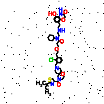 CC(C)C1=NC(C(=O)N2CCOC3(CCN(Cc4cccc(CCOCCC(=O)N(CCNCCc5ccc(O)c6c5OCC(=O)N6)C5CCCCC5)c4Cl)CC3)C2)CS1